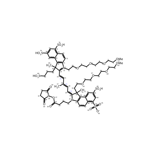 COCCOCCOCCOCC[N+]1=C(/C=C/C(C)=C/C=C2/N(CCCC(=O)ON3C(=O)CCC3=O)c3ccc4c(S(=O)(=O)[O-])cc(S(=O)(=O)O)cc4c3C2(C)CCOCCOCCOCCOC)C(C)(CCCS(=O)(=O)O)c2c1ccc1c(S(=O)(=O)O)cc(S(=O)(=O)O)cc21